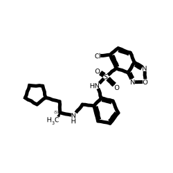 C[C@@H](CC1CCCC1)NCc1ccccc1NS(=O)(=O)c1c(Cl)ccc2nonc12